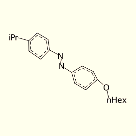 CCCCCCOc1ccc(N=Nc2ccc(C(C)C)cc2)cc1